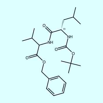 CC(C)C[C@H](NC(=O)OC(C)(C)C)C(=O)NC(C(=O)OCc1ccccc1)C(C)C